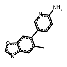 Cc1cc2ncoc2cc1-c1ccc(N)nc1